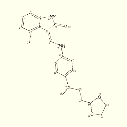 Cc1cccc2c1C(=CNc1ccc(N(C)CCC3OCCO3)cc1)C(=O)N2